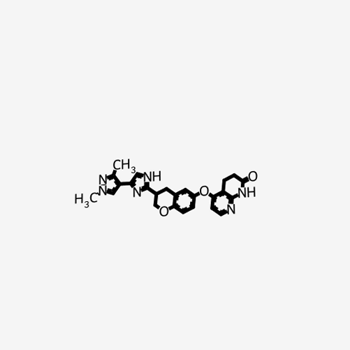 Cc1nn(C)cc1-c1c[nH]c(C2COc3ccc(Oc4ccnc5c4CCC(=O)N5)cc3C2)n1